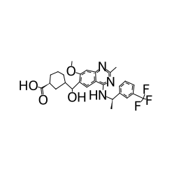 COc1cc2nc(C)nc(N[C@H](C)c3cccc(C(F)(F)F)c3)c2cc1C(O)C1CCC[C@H](C(=O)O)C1